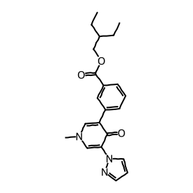 CCC(CC)COC(=O)c1cccc(-c2cn(C)cc(-n3cccn3)c2=O)c1